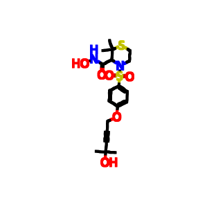 CC(C)(O)C#CCOc1ccc(S(=O)(=O)N2CCSC(C)(C)C2C(=O)NO)cc1